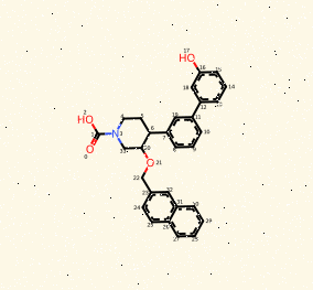 O=C(O)N1CCC(c2cccc(-c3cccc(O)c3)c2)C(OCc2ccc3ccccc3c2)C1